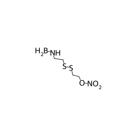 BNCCSSCCO[N+](=O)[O-]